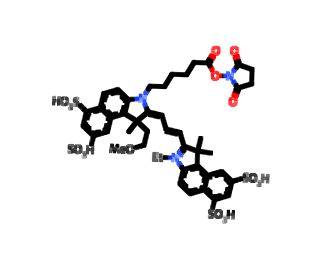 CC[N+]1=C(/C=C/C=C2/N(CCCCCC(=O)ON3C(=O)CCC3=O)c3ccc4c(S(=O)(=O)O)cc(S(=O)(=O)O)cc4c3C2(C)CCOC)C(C)(C)c2c1ccc1c(S(=O)(=O)O)cc(S(=O)(=O)O)cc21